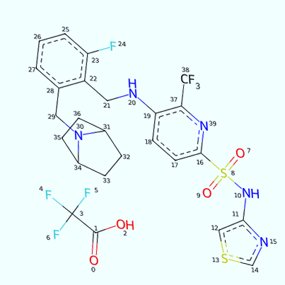 O=C(O)C(F)(F)F.O=S(=O)(Nc1cscn1)c1ccc(NCc2c(F)cccc2CN2C3CCC2CC3)c(C(F)(F)F)n1